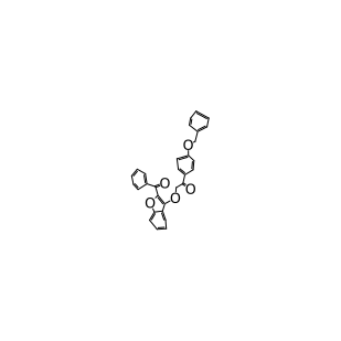 O=C(COc1c(C(=O)c2ccccc2)oc2ccccc12)c1ccc(OCc2ccccc2)cc1